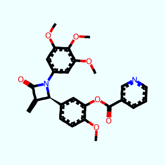 C=C1C(=O)N(c2cc(OC)c(OC)c(OC)c2)[C@H]1c1ccc(OC)c(OC(=O)c2cccnc2)c1